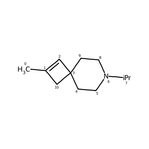 CC1=CC2(CCN(C(C)C)CC2)C1